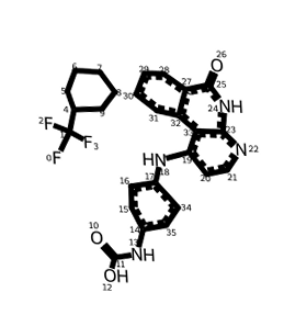 FC(F)(F)C1CCCCC1.O=C(O)Nc1ccc(Nc2ccnc3[nH]c(=O)c4ccccc4c23)cc1